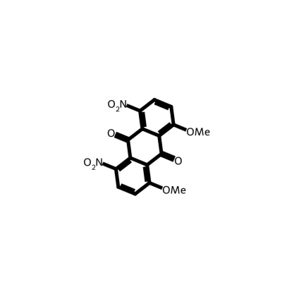 COc1ccc([N+](=O)[O-])c2c1C(=O)c1c(OC)ccc([N+](=O)[O-])c1C2=O